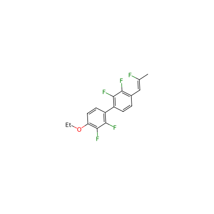 CCOc1ccc(-c2ccc(/C=C(/C)F)c(F)c2F)c(F)c1F